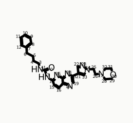 O=C(NCCCCc1ccccc1)Nc1ccc2ncc(-c3cnn(CCN4CCOCC4)c3)nc2n1